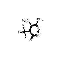 Cc1n[nH]c(=O)c(C(F)(F)F)c1C